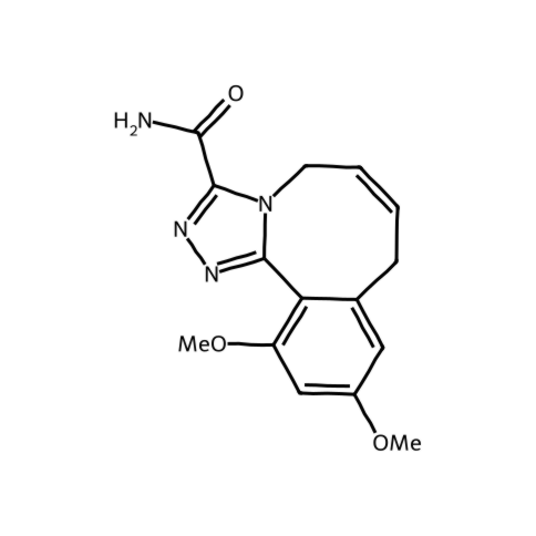 COc1cc2c(c(OC)c1)-c1nnc(C(N)=O)n1CC=CC2